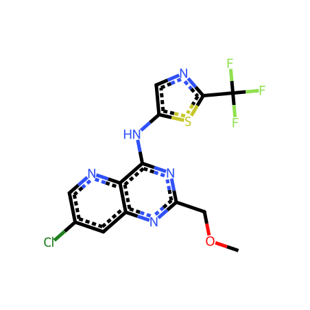 COCc1nc(Nc2cnc(C(F)(F)F)s2)c2ncc(Cl)cc2n1